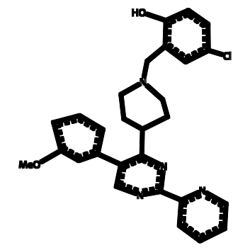 COc1cccc(-c2cnc(-c3ccccn3)nc2C2CCN(Cc3cc(Cl)ccc3O)CC2)c1